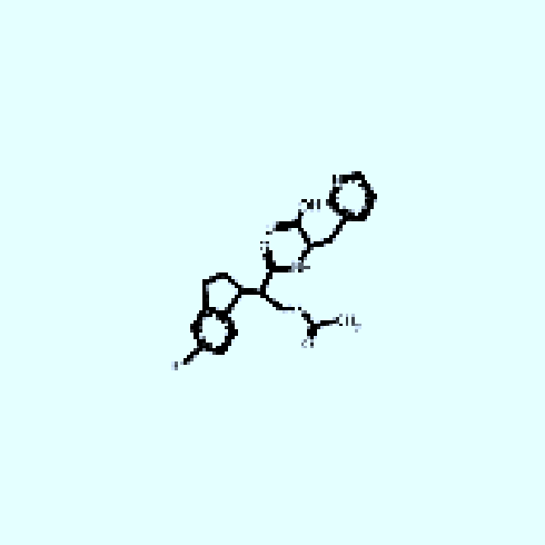 CC(=O)SCC(C(=O)NC(Cc1cccnc1)C(=O)O)C1CCc2cc(Br)ccc21